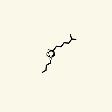 CCCCn1cc(CCCCC(C)C)nn1